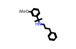 COc1cccc(C(C)(C)NCCCc2ccccc2)c1